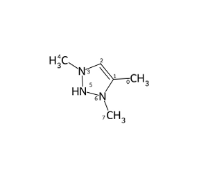 CC1=CN(C)NN1C